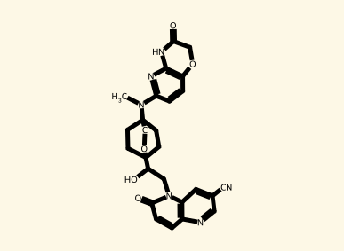 CN(c1ccc2c(n1)NC(=O)CO2)C12CCC(C(O)Cn3c(=O)ccc4ncc(C#N)cc43)(CC1)OC2